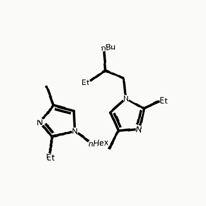 CCCCC(CC)Cn1cc(C)nc1CC.CCCCCCn1cc(C)nc1CC